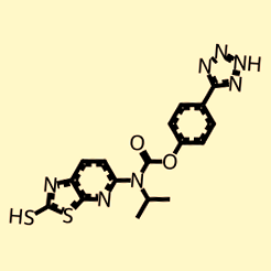 CC(C)N(C(=O)Oc1ccc(-c2nn[nH]n2)cc1)c1ccc2nc(S)sc2n1